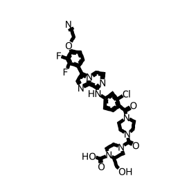 N#CCOc1ccc(-c2cnc3c(Nc4ccc(C(=O)N5CCN(C(=O)N6CCN(C(=O)O)C(CO)C6)CC5)c(Cl)c4)nccn23)c(F)c1F